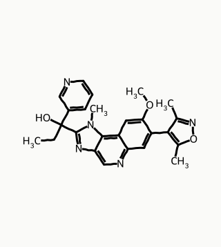 CCC(O)(c1cccnc1)c1nc2cnc3cc(-c4c(C)noc4C)c(OC)cc3c2n1C